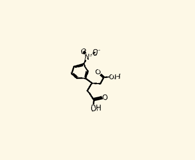 O=C(O)CC(CC(=O)O)c1cccc([N+](=O)[O-])c1